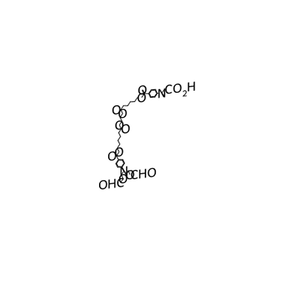 CN(CC(=O)O)c1ccc(C(=O)OCCCCCC(=O)OCCOC(=O)CCCCCOC(=O)c2ccc(N(COC=O)COC=O)cc2)cc1